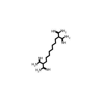 N=C(N)C(CCCCCCCCC(C(=N)N)C(=N)N)C(=N)N